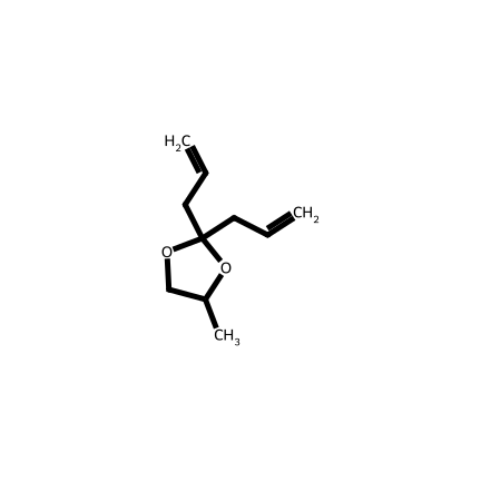 C=CCC1(CC=C)OCC(C)O1